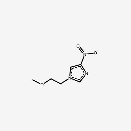 COCCn1cnc([N+](=O)[O-])c1